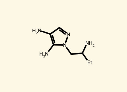 CCC(N)Cn1ncc(N)c1N